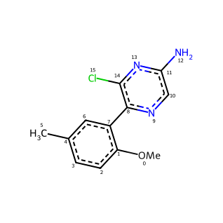 COc1ccc(C)cc1-c1ncc(N)nc1Cl